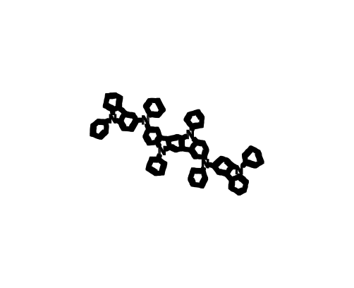 c1ccc(N(c2ccc3c(c2)c2ccccc2n3-c2ccccc2)c2ccc3c(c2)c2cc4c(cc2n3-c2ccccc2)c2cc(N(c3ccccc3)c3ccc5c(c3)c3ccccc3n5-c3ccccc3)ccc2n4-c2ccccc2)cc1